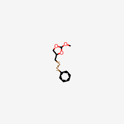 COC1OCC(CSSc2ccccc2)O1